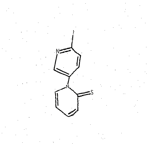 S=c1ccccn1-c1ccc(I)nc1